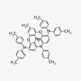 Cc1ccc(N(c2ccc(C)cc2)c2ccc3c4c2Oc2cc(C)cc5c2P4(=O)c2c(ccc(N(c4ccc(C)cc4)c4ccc(C)cc4)c2O5)N3c2ccc(C)cc2)cc1